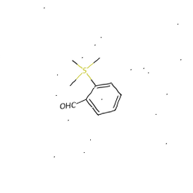 CS(C)(C)c1ccccc1C=O